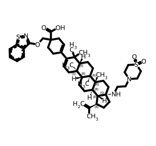 C=C(C)[C@@H]1CC[C@]2(NCCN3CCS(=O)(=O)CC3)CC[C@]3(C)[C@H](CC[C@@H]4[C@@]5(C)CC=C(C6=CCC(COc7nsc8ccccc78)(C(=O)O)CC6)C(C)(C)[C@@H]5CC[C@]43C)[C@@H]12